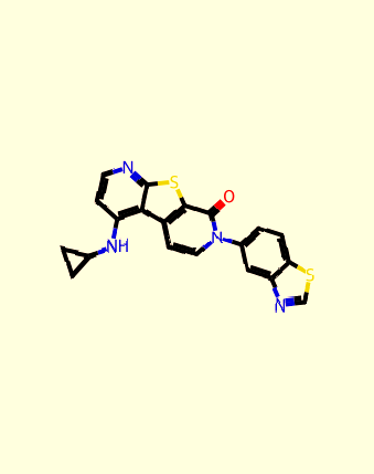 O=c1c2sc3nccc(NC4CC4)c3c2ccn1-c1ccc2scnc2c1